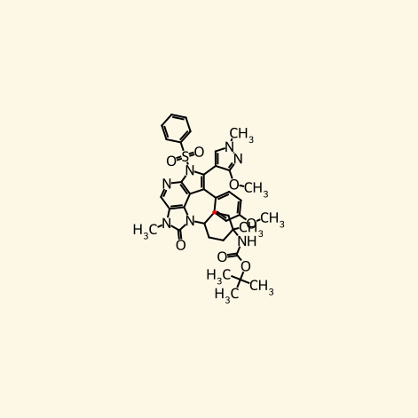 COc1ccc(-c2c(-c3cn(C)nc3OC)n(S(=O)(=O)c3ccccc3)c3ncc4c(c23)n(C2CCC(C)(NC(=O)OC(C)(C)C)CC2)c(=O)n4C)cc1